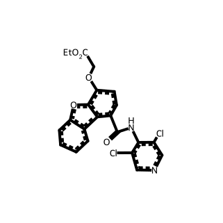 CCOC(=O)COc1ccc(C(=O)Nc2c(Cl)cncc2Cl)c2c1oc1ccccc12